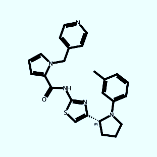 Cc1cccc(N2CCC[C@@H]2c2csc(NC(=O)c3cccn3Cc3ccncc3)n2)c1